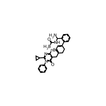 BC(=O)NC(N)c1ccccc1C1=CC=C(Cc2c(CCCC)nc(C3CC3)n(-c3ccccc3)c2=O)CC1